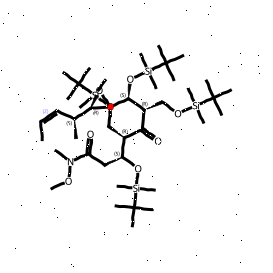 C/C=C\[C@H](C)[C@H]1OC1(C)[C@@H](O[Si](C)(C)C(C)(C)C)[C@@H](CO[Si](C)(C)C(C)(C)C)C(=O)[C@H](CO[Si](C)(C)C(C)(C)C)[C@H](CC(=O)N(C)OC)O[Si](C)(C)C(C)(C)C